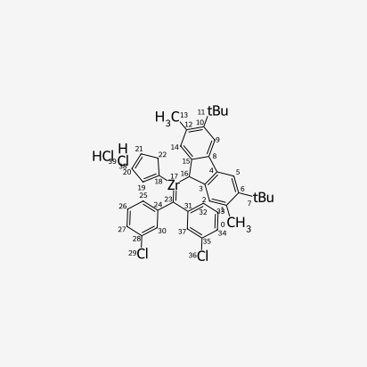 Cc1cc2c(cc1C(C)(C)C)-c1cc(C(C)(C)C)c(C)cc1[CH]2[Zr]([C]1=CC=CC1)=[C](c1cccc(Cl)c1)c1cccc(Cl)c1.Cl.Cl